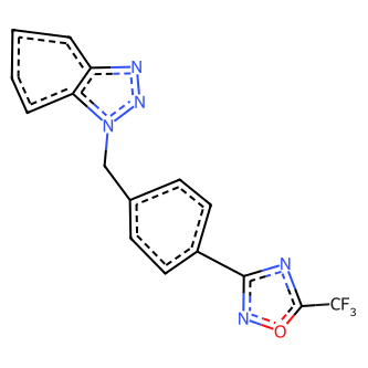 FC(F)(F)c1nc(-c2ccc(Cn3nnc4ccccc43)cc2)no1